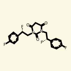 O=C1CC(=O)N(C[C@@H](F)c2ccc(F)cc2)C(=O)N1C[C@@H](F)c1ccc(F)cc1